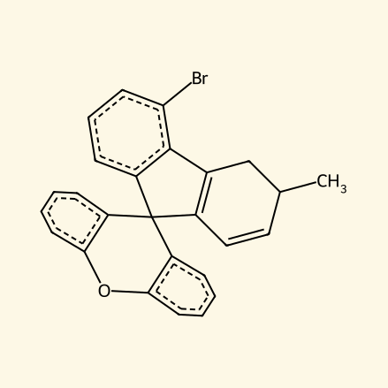 CC1C=CC2=C(C1)c1c(Br)cccc1C21c2ccccc2Oc2ccccc21